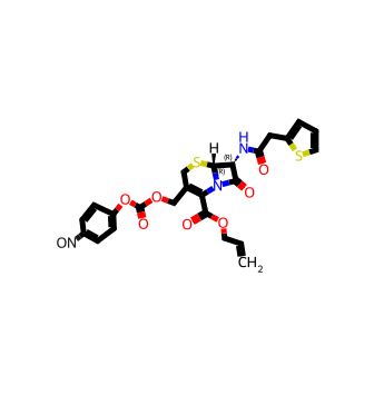 C=CCOC(=O)C1=C(COC(=O)Oc2ccc(N=O)cc2)CS[C@@H]2[C@H](NC(=O)Cc3cccs3)C(=O)N12